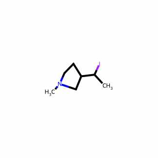 CC(I)C1CCN(C)C1